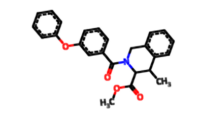 COC(=O)C1C(C)c2ccccc2CN1C(=O)c1cccc(Oc2ccccc2)c1